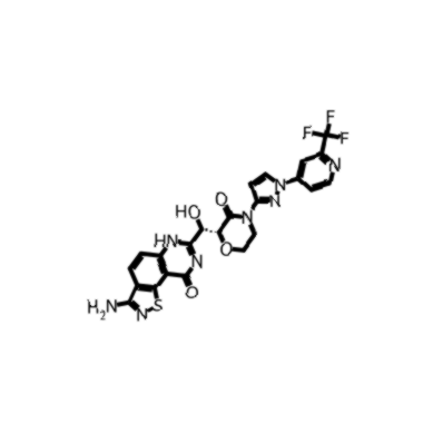 Nc1nsc2c1ccc1[nH]c(C(O)[C@H]3OCCN(c4ccn(-c5ccnc(C(F)(F)F)c5)n4)C3=O)nc(=O)c12